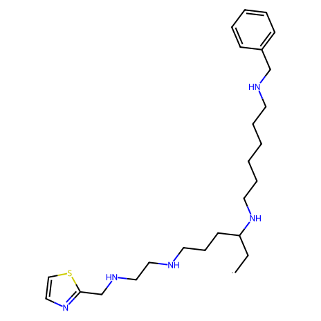 [CH2]CC(CCCNCCNCc1nccs1)NCCCCCCNCc1ccccc1